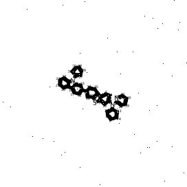 c1ccc(N(c2ccc3c(c2)sc2cc(-c4ccc5c6ccccc6n(-c6ccccc6)c5c4)ccc23)c2ccccn2)cc1